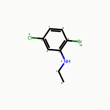 CCNc1cc(Cl)ccc1Br